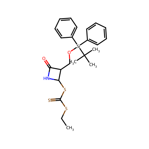 CCSC(=S)SC1NC(=O)C1CO[Si](c1ccccc1)(c1ccccc1)C(C)(C)C